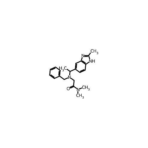 Cc1nc2cc(C(C)N(CC(=O)N(C)C)Cc3ccccc3)ccc2[nH]1